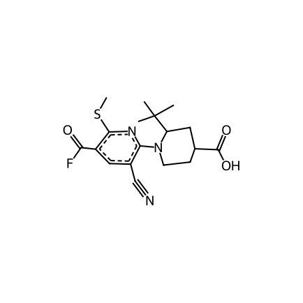 CSc1nc(N2CCC(C(=O)O)CC2C(C)(C)C)c(C#N)cc1C(=O)F